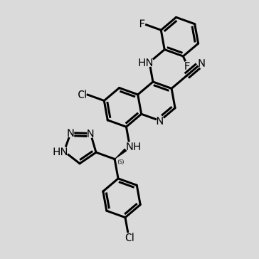 N#Cc1cnc2c(N[C@@H](c3ccc(Cl)cc3)c3c[nH]nn3)cc(Cl)cc2c1Nc1c(F)cccc1F